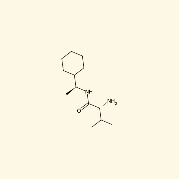 CC(C)[C@@H](N)C(=O)N[C@@H](C)C1CCCCC1